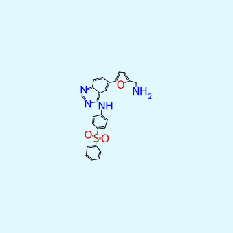 NCc1ccc(-c2ccc3ncnc(Nc4ccc(S(=O)(=O)c5ccccc5)cc4)c3c2)o1